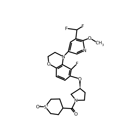 COc1ncc(N2CCOc3ccc(O[C@H]4CCN(C(=O)C5CC[S+]([O-])CC5)C4)c(F)c32)cc1C(F)F